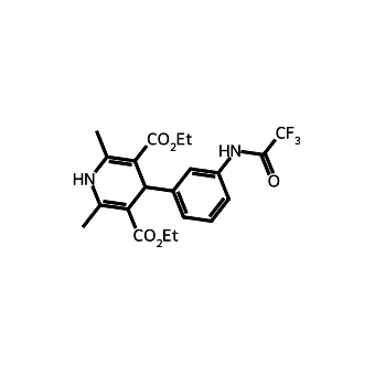 CCOC(=O)C1=C(C)NC(C)=C(C(=O)OCC)C1c1cccc(NC(=O)C(F)(F)F)c1